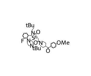 COc1ccc(C(=O)C2CCN(C(=O)C[C@@H]3SC(c4cccc(F)c4N4CCN(C(C)(C)C)CC4)N(CCC(C)(C)C)C3=O)CC2)cc1